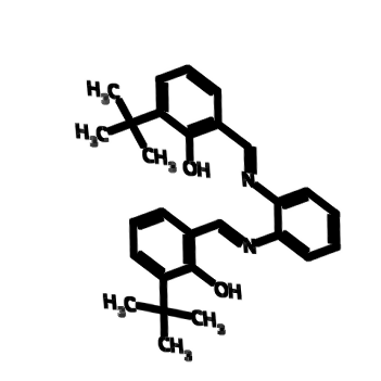 CC(C)(C)c1cccc(C=Nc2ccccc2N=Cc2cccc(C(C)(C)C)c2O)c1O